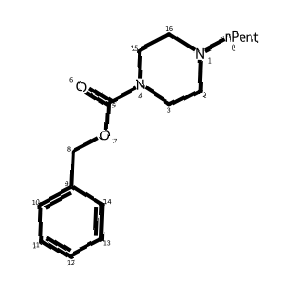 [CH2]CCCCN1CCN(C(=O)OCc2ccccc2)CC1